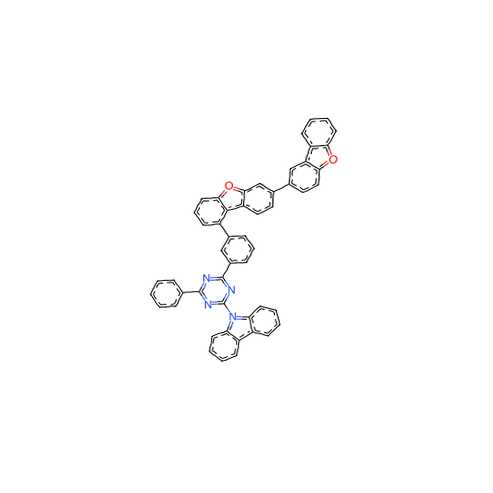 c1ccc(-c2nc(-c3cccc(-c4cccc5oc6cc(-c7ccc8oc9ccccc9c8c7)ccc6c45)c3)nc(-n3c4ccccc4c4ccccc43)n2)cc1